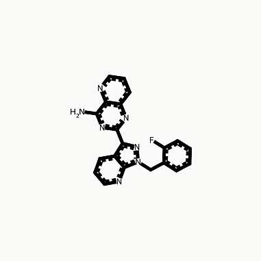 Nc1nc(-c2nn(Cc3ccccc3F)c3ncccc23)nc2cccnc12